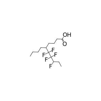 CCCCC(CCCC(=O)O)C(F)(F)C(F)(F)C(F)CC